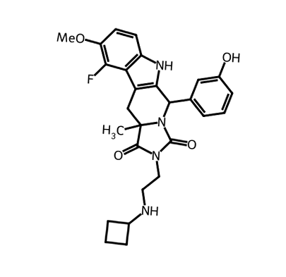 COc1ccc2[nH]c3c(c2c1F)CC1(C)C(=O)N(CCNC2CCC2)C(=O)N1C3c1cccc(O)c1